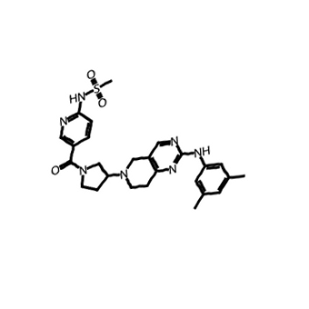 Cc1cc(C)cc(Nc2ncc3c(n2)CCN(C2CCN(C(=O)c4ccc(NS(C)(=O)=O)nc4)C2)C3)c1